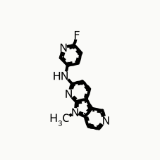 Cn1c2ccncc2c2ccc(Nc3ccc(F)nc3)nc21